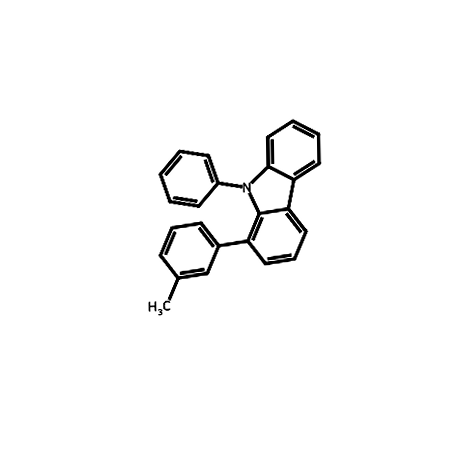 Cc1cccc(-c2cccc3c4ccccc4n(-c4ccccc4)c23)c1